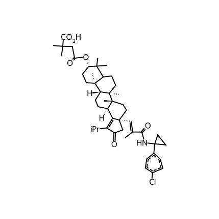 C/C(=C\[C@@]12CC[C@]3(C)[C@H](CC[C@@H]4[C@@]5(C)CC[C@H](OC(=O)CC(C)(C)C(=O)O)C(C)(C)C5CC[C@]43C)C1=C(C(C)C)C(=O)C2)C(=O)NC1(c2ccc(Cl)cc2)CC1